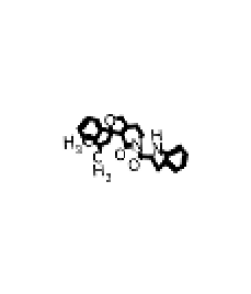 CC(C)CC1(c2ccccc2)OCC2=C1C(=O)N(C(=O)C1Cc3ccccc3N1)CC2